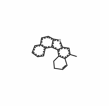 Cc1cc2oc3ccc4ccccc4c3c2c2c1C=CCC2